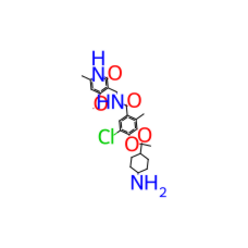 COc1cc(C)[nH]c(=O)c1CNC(=O)c1cc(Cl)c2c(c1C)OC(C)(C1CCC(N)CC1)O2